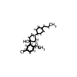 CCCC1CCC(N2CCC(O)(c3cc(Cl)ccc3OC)CC2)CC1